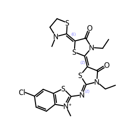 CCN1C(=O)/C(=c2/s/c(=C3/SCCN3C)c(=O)n2CC)S/C1=N\c1sc2cc(Cl)ccc2[n+]1C